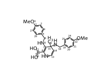 COc1ccc(CNC2=C(B(O)O)NC=CC2(C)NCc2ccc(OC)cc2)cc1